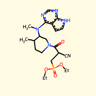 CCOP(=O)(CC(C#N)C(=O)N1CCC(C)C(N(C)c2ncnc3[nH]ccc23)C1)OCC